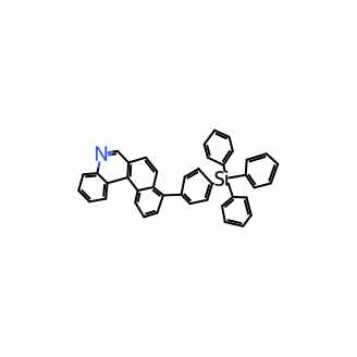 c1ccc([Si](c2ccccc2)(c2ccccc2)c2ccc(-c3cccc4c3ccc3cnc5ccccc5c34)cc2)cc1